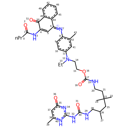 CCCC(=O)NC1=C/C(=N\c2ccc(N(CC)CCOC(=O)NCCC(C)(C)CC(C)CNC(=O)Nc3nc(=O)cc(C)[nH]3)cc2C)c2ccccc2C1=O